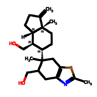 C=C1CC[C@H]2[C@H](CO)[C@@H](C3(C)Cc4sc(C)nc4CC3CO)CC[C@]12C